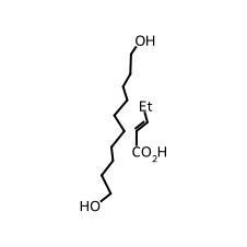 CCC=CC(=O)O.OCCCCCCCCCCO